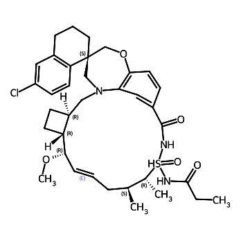 CCC(=O)N[SH]1(=O)NC(=O)c2ccc3c(c2)N(C[C@@H]2CC[C@H]2[C@@H](OC)/C=C/C[C@H](C)[C@H]1C)C[C@@]1(CCCc2cc(Cl)ccc21)CO3